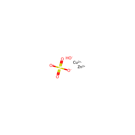 O=S(=O)([O-])[O-].[Cu+2].[OH-].[Zn+2]